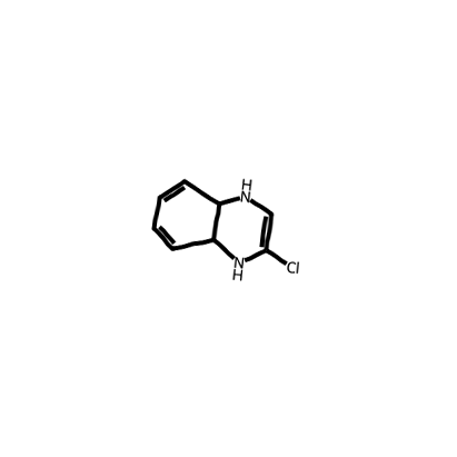 ClC1=CNC2C=CC=CC2N1